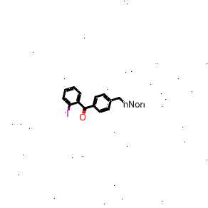 CCCCCCCCCCc1ccc(C(=O)c2ccccc2I)cc1